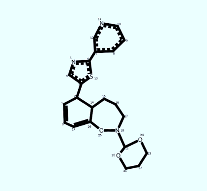 C1=CC(c2cnc(-c3cccnc3)s2)C2CCCN(C3OCCCO3)OC2=C1